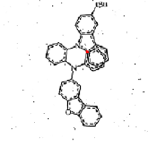 CC(C)(C)c1ccc2c(c1)c1ccccc1n2-c1ccccc1N(c1ccccc1)c1ccc2oc3ccccc3c2c1